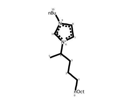 CCCCCCCCCCCC(C)[n+]1ccn(CCCC)c1